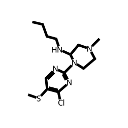 CCCCNC1CN(C)CCN1c1ncc(SC)c(Cl)n1